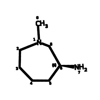 CN1CCCC[C@H](N)C1